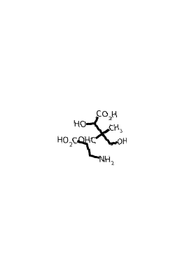 CC(C=O)(CO)C(O)C(=O)O.NCCC(=O)O